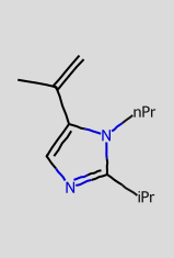 C=C(C)c1cnc(C(C)C)n1CCC